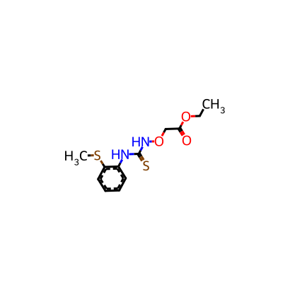 CCOC(=O)CONC(=S)Nc1ccccc1SC